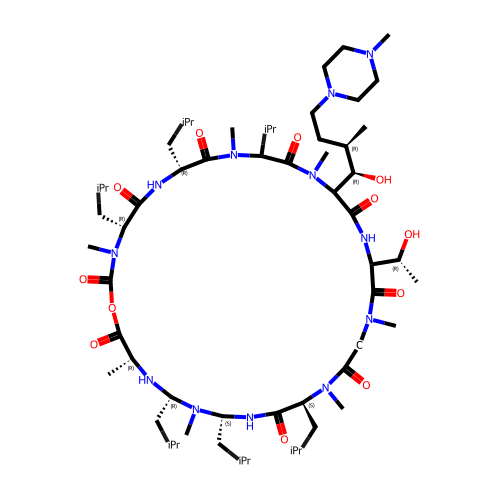 CC(C)C[C@@H]1C(=O)N[C@H](CC(C)C)C(=O)N(C)C(C(C)C)C(=O)N(C)C([C@H](O)[C@H](C)CCN2CCN(C)CC2)C(=O)NC([C@@H](C)O)C(=O)N(C)CC(=O)N(C)[C@@H](CC(C)C)C(=O)N[C@H](CC(C)C)N(C)[C@H](CC(C)C)N[C@H](C)C(=O)OC(=O)N1C